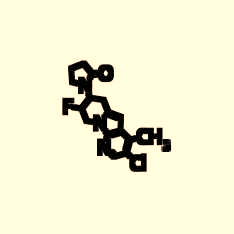 Cc1c(Cl)cnc2c1cc1n2CC(F)C(N2CCCC2=O)C1